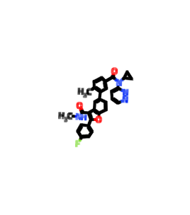 CNC(=O)c1c(-c2ccc(F)cc2)oc2ccc(-c3cc(C(=O)N(c4cccnn4)C4CC4)ccc3C)cc12